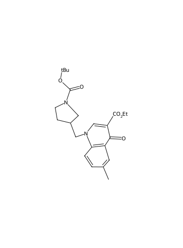 CCOC(=O)c1cn(CC2CCN(C(=O)OC(C)(C)C)C2)c2ccc(C)cc2c1=O